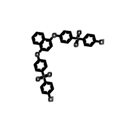 O=S(=O)(c1ccc(Cl)cc1)c1ccc(Oc2ccc(Oc3ccc(S(=O)(=O)c4ccc(Cl)cc4)cc3)c3ccccc23)cc1